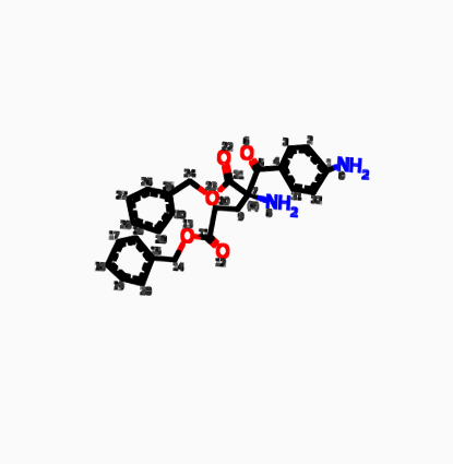 Nc1ccc(C(=O)[C@](N)(CCC(=O)OCc2ccccc2)C(=O)OCc2ccccc2)cc1